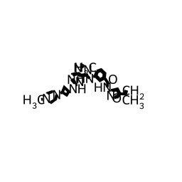 C=C(C)c1cc(NC(=O)c2ccc(C)c(Nc3ncnc4cnc(NC5CC(N6CCN(C)CC6)C5)nc34)c2)no1